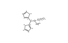 [Cl-].[Cl-].[Cl-].[Hf+3][O]C(C1=CC=CC1)C1=CC=CC1